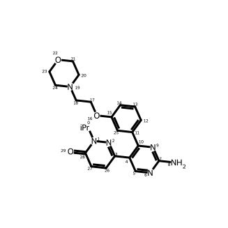 CC(C)n1nc(-c2cnc(N)nc2-c2cccc(OCCN3CCOCC3)c2)ccc1=O